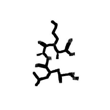 CCCCN(C(=O)[C@@H](C)NC(=O)C(CC(=O)NO)CC(C)C)[C@@H](C)C(=O)O